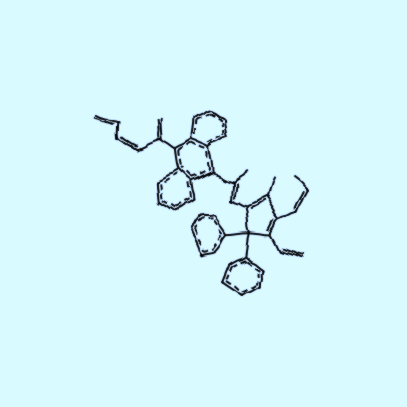 C=C/C=C\C(=C)c1c2ccccc2c(/C(C)=C/C2=C(C)C(/C=C\C)=C(C=C)C2(c2ccccc2)c2ccccc2)c2ccccc12